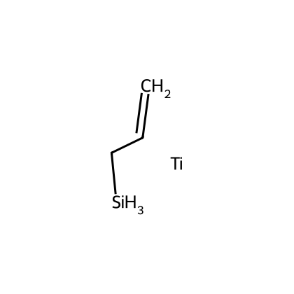 C=CC[SiH3].[Ti]